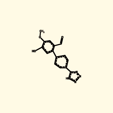 COc1cc(C=O)c(-c2ccc(-c3nnn[nH]3)cc2)cc1O